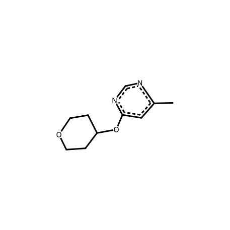 Cc1cc(OC2CCOCC2)ncn1